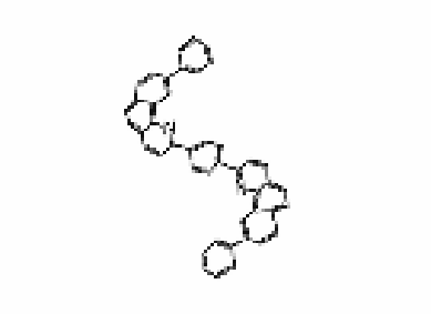 c1ccc(-c2ccc3ccc4ccc(-c5ccc(-c6ccc7ccc8ccc(-c9ccccc9)cc8c7n6)cc5)nc4c3c2)cc1